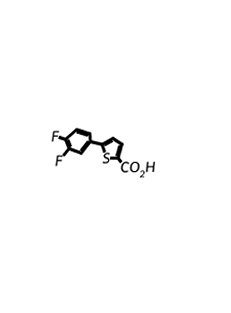 O=C(O)c1ccc(-c2ccc(F)c(F)c2)s1